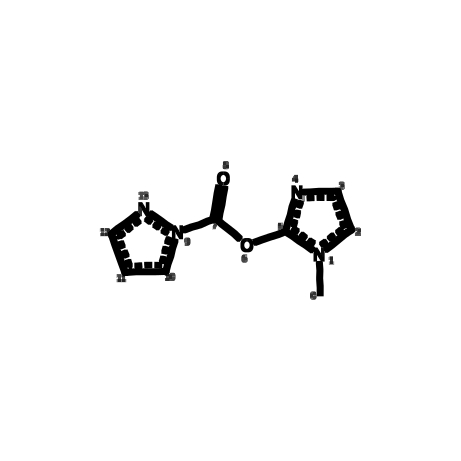 Cn1ccnc1OC(=O)n1cccn1